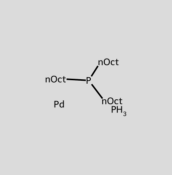 CCCCCCCCP(CCCCCCCC)CCCCCCCC.P.[Pd]